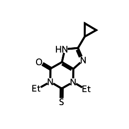 CCn1c(=O)c2[nH]c(C3CC3)nc2n(CC)c1=S